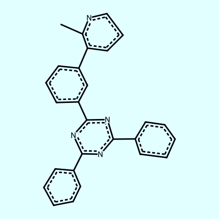 Cc1ncccc1-c1cccc(-c2nc(-c3ccccc3)nc(-c3ccccc3)n2)c1